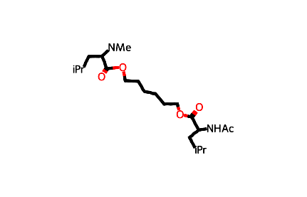 CNC(CC(C)C)C(=O)OCCCCCCOC(=O)C(CC(C)C)NC(C)=O